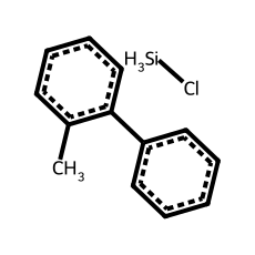 Cc1ccccc1-c1ccccc1.[SiH3]Cl